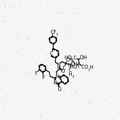 CN(C)C(C)(C)CN(Cc1ccc(-c2ccc(C(F)(F)F)cc2)cc1)C(=O)Cn1c(CCc2cccc(F)c2F)nc(=O)c2ccccc21.O=C(O)C(O)C(O)C(=O)O